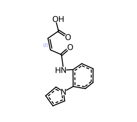 O=C(O)/C=C\C(=O)Nc1ccccc1-n1cccc1